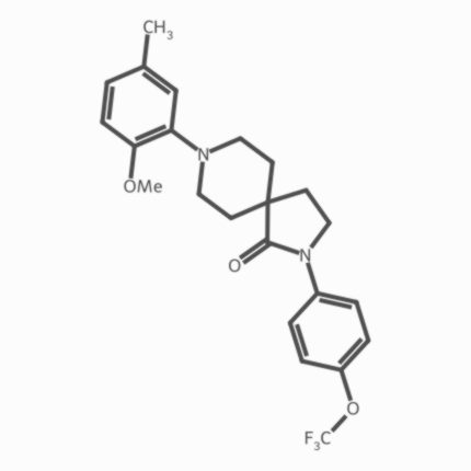 COc1ccc(C)cc1N1CCC2(CC1)CCN(c1ccc(OC(F)(F)F)cc1)C2=O